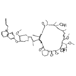 C=CCn1ccc2cc(OC3CCC(C=C(C)C4CC(=O)C5CCCCN5C(=O)C(=O)C5(O)CC(C(OC)CC(C)C(O)/C(C)=C/C(CC)C(=O)CCC4C)C(OC)CC5C)CC3OC)ccc21